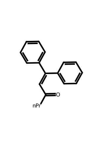 CCCC(=O)C=C(c1ccccc1)c1ccccc1